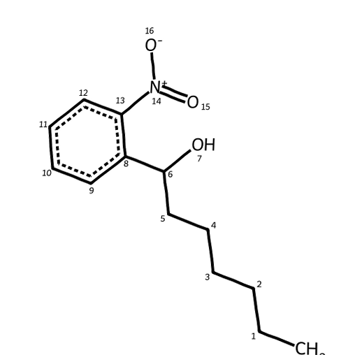 CCCCCCC(O)c1ccccc1[N+](=O)[O-]